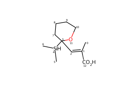 CC(=CC1([SiH](C)C)CCCCO1)C(=O)O